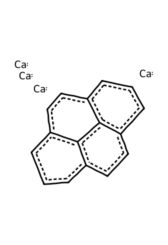 [Ca].[Ca].[Ca].[Ca].c1cc2ccc3cccc4ccc(c1)c2c34